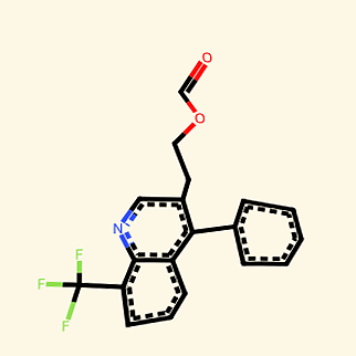 O=COCCc1cnc2c(C(F)(F)F)cccc2c1-c1ccccc1